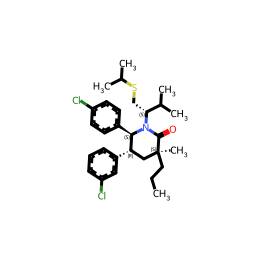 CCC[C@@]1(C)C[C@H](c2cccc(Cl)c2)[C@@H](c2ccc(Cl)cc2)N([C@H](CSC(C)C)C(C)C)C1=O